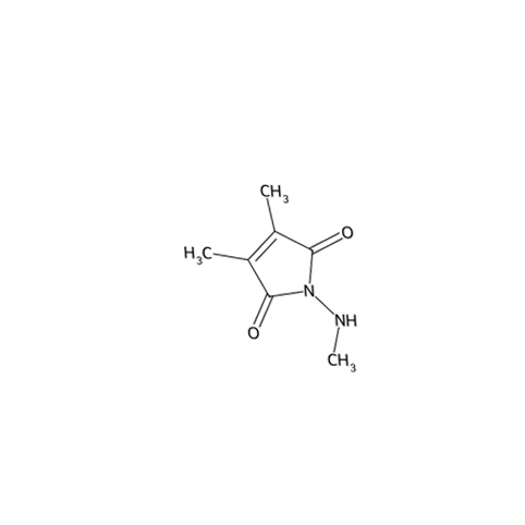 CNN1C(=O)C(C)=C(C)C1=O